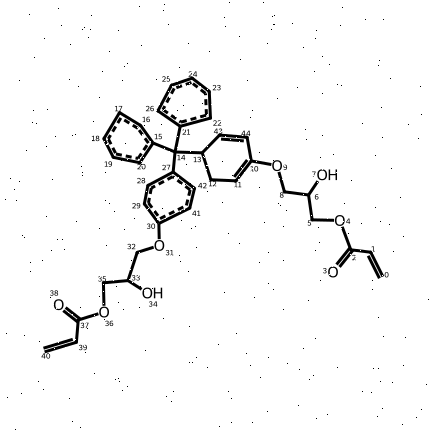 C=CC(=O)OCC(O)COC1=CCC(C(c2ccccc2)(c2ccccc2)c2ccc(OCC(O)COC(=O)C=C)cc2)C=C1